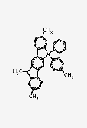 Cc1ccc(C2(c3ccccc3)c3cc(C)ccc3-c3cc4c(cc32)-c2ccc(C)cc2C4C)cc1